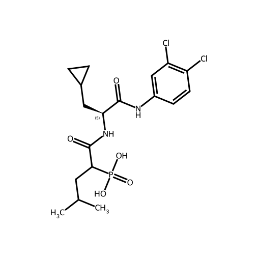 CC(C)CC(C(=O)N[C@@H](CC1CC1)C(=O)Nc1ccc(Cl)c(Cl)c1)P(=O)(O)O